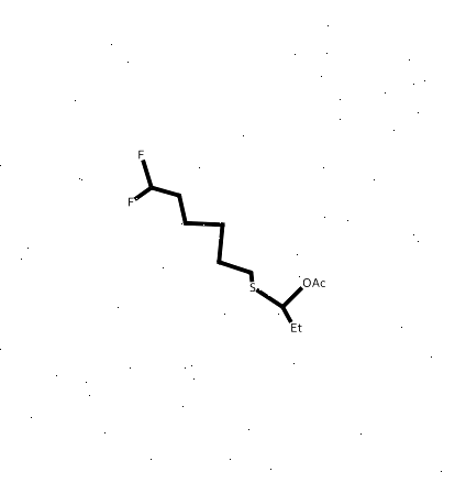 CCC(OC(C)=O)SCCCCCC(F)F